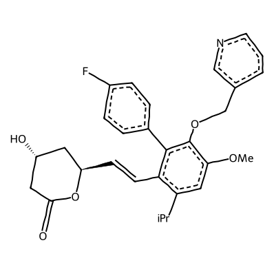 COc1cc(C(C)C)c(/C=C/[C@@H]2C[C@@H](O)CC(=O)O2)c(-c2ccc(F)cc2)c1OCc1cccnc1